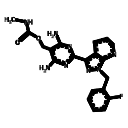 CNC(=O)OCc1c(N)nc(-c2nn(Cc3ccccc3F)c3ncccc23)nc1N